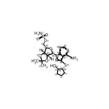 CC1(C)O[C@@H]2[C@H](O1)[C@@H](COS(N)(=O)=O)O[C@H]2n1nc(S[C@@H]2CCC[C@H]2O)c2c(N)ncnc21